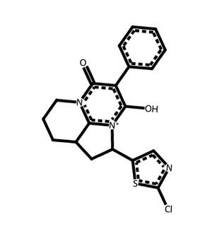 O=c1c(-c2ccccc2)c(O)[n+]2c3n1CCCC3CC2c1cnc(Cl)s1